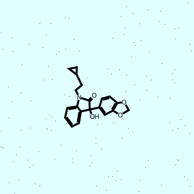 O=C1N(CCC2CC2)c2ccccc2C1(O)c1ccc2c(c1)OCO2